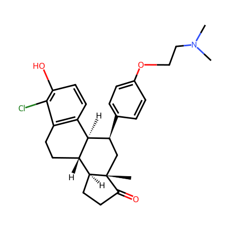 CN(C)CCOc1ccc([C@H]2C[C@]3(C)C(=O)CC[C@H]3[C@@H]3CCc4c(ccc(O)c4Cl)[C@H]32)cc1